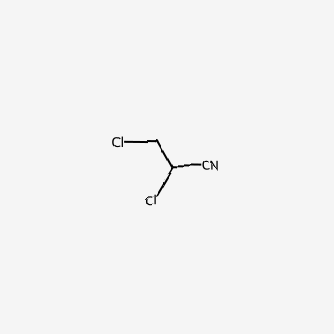 N#CC(Cl)CCl